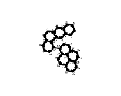 c1ccc2cc3c(ccc4cccc(-c5ccc6ccc7cccc8ccc5c6c78)c43)cc2c1